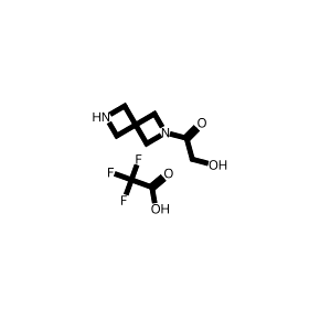 O=C(CO)N1CC2(CNC2)C1.O=C(O)C(F)(F)F